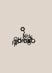 CC(O)(c1ccc(N2CCN(S(=O)(=O)C3=CC=CCC3=S)C[C@@H]2CNCCc2ccccc2)cc1)C(F)(F)F